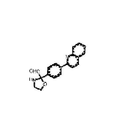 O=CC1(c2ccc(-c3ccc4ccccc4n3)cc2)NCCO1